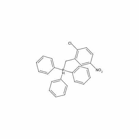 O=[N+]([O-])c1ccc(Cl)c(C[PH](c2ccccc2)(c2ccccc2)c2ccccc2)c1